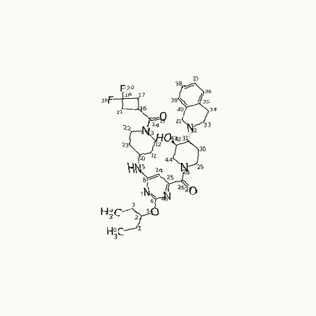 CCC(CC)Oc1nc(NC2CCN(C(=O)C3CC(F)(F)C3)CC2)cc(C(=O)N2CC[C@@H](N3CCc4ccccc4C3)[C@H](O)C2)n1